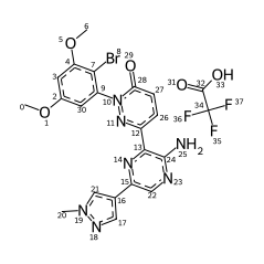 COc1cc(OC)c(Br)c(-n2nc(-c3nc(-c4cnn(C)c4)cnc3N)ccc2=O)c1.O=C(O)C(F)(F)F